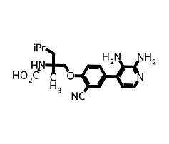 CC(C)CC(C)(COc1ccc(-c2ccnc(N)c2N)cc1C#N)NC(=O)O